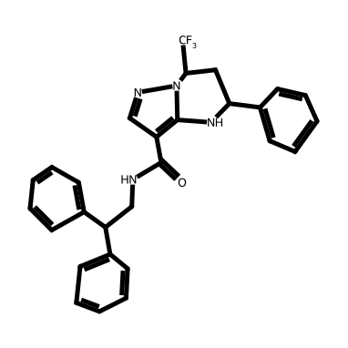 O=C(NCC(c1ccccc1)c1ccccc1)c1cnn2c1NC(c1ccccc1)CC2C(F)(F)F